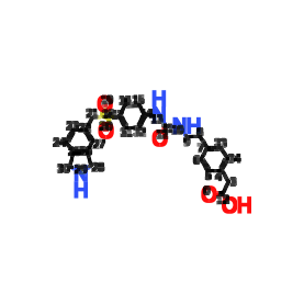 O=C(O)Cc1ccc(CCNC(=O)Nc2ccc(S(=O)(=O)Cc3ccc4c(c3)CNC4)cc2)cc1